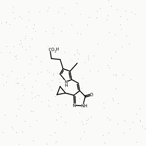 Cc1c(CCC(=O)O)c[nH]c1C=C1C(=O)NN=C1C1CC1